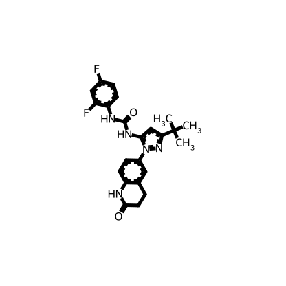 CC(C)(C)c1cc(NC(=O)Nc2ccc(F)cc2F)n(-c2ccc3c(c2)CCC(=O)N3)n1